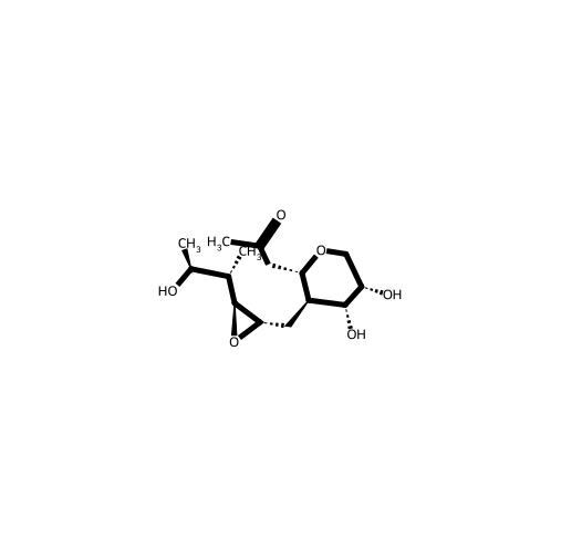 CC(=O)C[C@@H]1OC[C@H](O)[C@H](O)[C@H]1C[C@@H]1O[C@H]1[C@@H](C)[C@H](C)O